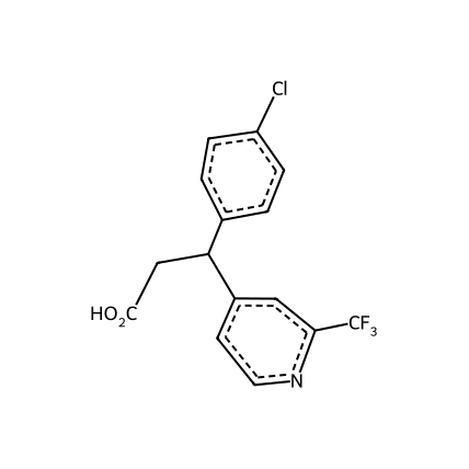 O=C(O)CC(c1ccc(Cl)cc1)c1ccnc(C(F)(F)F)c1